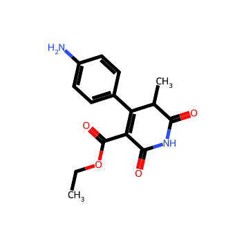 CCOC(=O)C1=C(c2ccc(N)cc2)C(C)C(=O)NC1=O